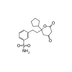 NS(=O)(=O)c1cccc(CCC2(C3CCCC3)CC(=O)CC(=O)O2)c1